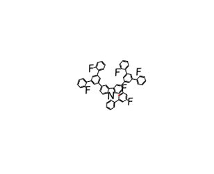 Fc1cc(F)cc(-c2ccccc2-n2c3ccc(-c4cc(-c5ccccc5F)cc(-c5ccccc5F)c4)cc3c3cc(-c4cc(-c5ccccc5F)cc(-c5ccccc5F)c4)ccc32)c1